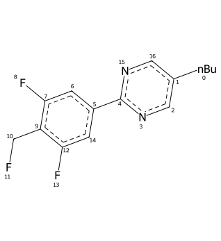 CCCCc1cnc(-c2cc(F)c(CF)c(F)c2)nc1